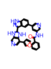 O=C(Nc1cncc(-c2ccc3[nH]nc(C4Nc5cncc(-c6ccoc6)c5N4)c3c2)c1)c1ccccc1